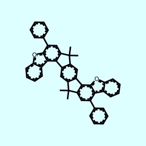 CC1(C)c2cc3c(cc2-c2c1cc(-c1ccccc1)c1c2oc2ccccc21)C(C)(C)c1cc(-c2ccccc2)c2oc4ccccc4c2c1-3